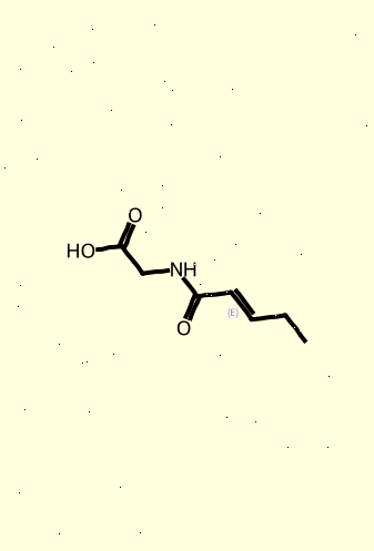 CC/C=C/C(=O)NCC(=O)O